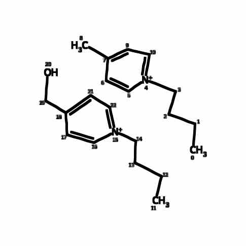 CCCC[n+]1ccc(C)cc1.CCCC[n+]1ccc(CO)cc1